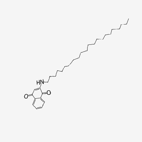 CCCCCCCCCCCCCCCCCCCCCCNC1=CC(=O)c2ccccc2C1=O